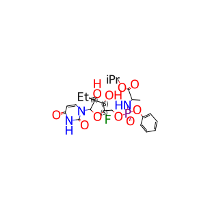 CC[C@]1(O)C(n2ccc(=O)[nH]c2=O)O[C@](F)(COP(=O)(NC(C)C(=O)OC(C)C)Oc2ccccc2)[C@H]1O